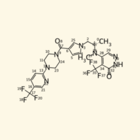 C[C@@H](Cn1ccc(C(=O)N2CCN(c3ccc(C(F)(F)F)cn3)CC2)c1)N(C)c1cn[nH]c(=O)c1C(F)(F)F